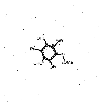 COSc1c(C(C)C)c(C=O)c(C(C)C)c(C=O)c1C(C)C